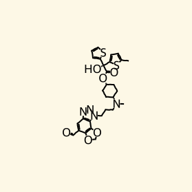 Cc1ccc([C@](O)(C(=O)O[C@H]2CC[C@H](N(C)CCCn3nnc4cc(C=O)c5c(c43)OCO5)CC2)c2cccs2)s1